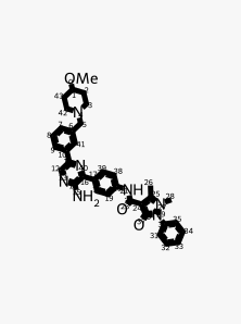 COC1CCN(Cc2cccc(-c3cnc(N)c(-c4ccc(NC(=O)c5c(C)n(C)n(-c6ccccc6)c5=O)cc4)n3)c2)CC1